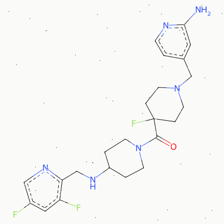 Nc1cc(CN2CCC(F)(C(=O)N3CCC(NCc4ncc(F)cc4F)CC3)CC2)ccn1